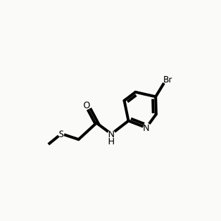 CSCC(=O)Nc1ccc(Br)cn1